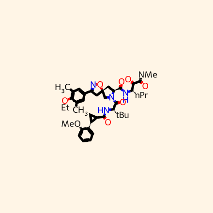 CCC[C@H](NC(=O)[C@@H]1C[C@]2(CC(c3cc(C)c(OCC)c(C)c3)=NO2)CN1C(=O)[C@@H](NC(=O)C1C[C@H]1c1ccccc1OC)C(C)(C)C)C(=O)C(=O)NC